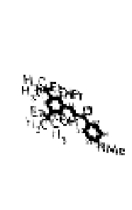 CCC(C)(C)c1cc(C(C)(C)CC)c(OC(C)C)c(C=CC(=O)c2ccc(NC)cc2)c1O